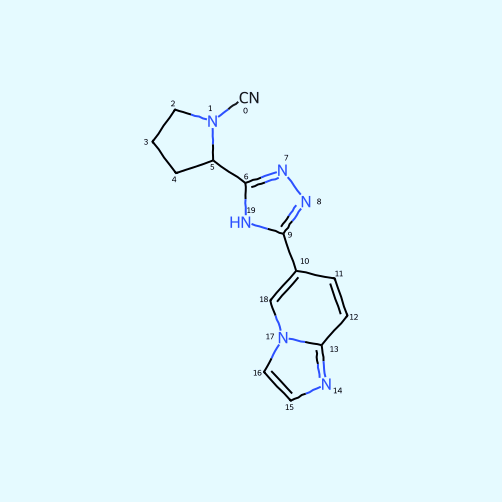 N#CN1CCCC1c1nnc(-c2ccc3nccn3c2)[nH]1